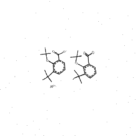 CC(C)(C)Oc1c(C(=O)[O-])cccc1C(C)(C)C.CC(C)(C)Oc1c(C(=O)[O-])cccc1C(C)(C)C.[Al+2]